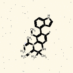 C=C=C1N(/C(C)=N\C)c2c(cc(F)c(-c3cccc4[nH]ccc34)c2OC)NC1(C)C